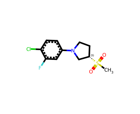 CS(=O)(=O)[C@H]1CCN(c2ccc(Cl)c(F)c2)C1